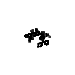 C[C@@H]1CN(C(c2ccccc2)c2ccccc2)CCN1C(=O)c1cc(F)c2c(c1)CN(C1CCC(=O)NC1=O)C2=O